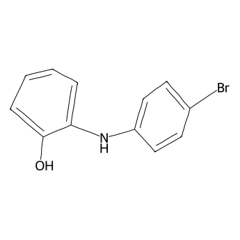 Oc1ccccc1Nc1ccc(Br)cc1